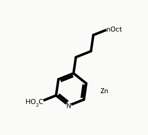 CCCCCCCCCCCc1ccnc(C(=O)O)c1.[Zn]